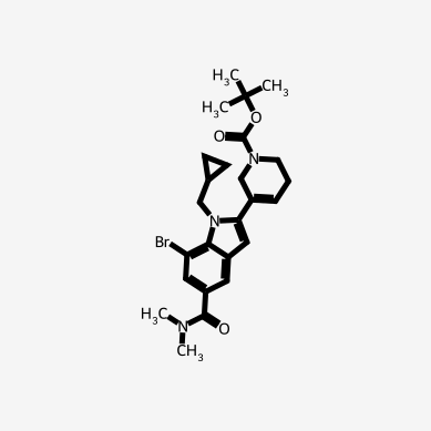 CN(C)C(=O)c1cc(Br)c2c(c1)cc(C1=CCCN(C(=O)OC(C)(C)C)C1)n2CC1CC1